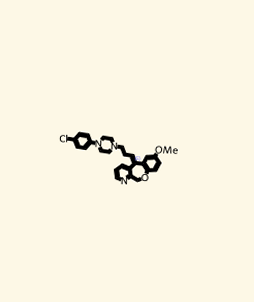 COc1ccc2c(c1)/C(=C/CCN1CCN(c3ccc(Cl)cc3)CC1)c1cccnc1CO2